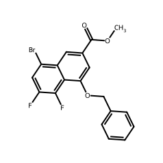 COC(=O)c1cc(OCc2ccccc2)c2c(F)c(F)cc(Br)c2c1